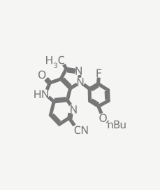 CCCCOc1ccc(F)c(-n2nc(C)c3c(=O)[nH]c4ccc(C#N)nc4c32)c1